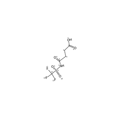 O=C(O)CCC(=O)NS(=O)(=O)C(F)(F)F